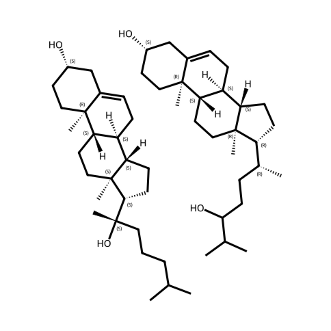 CC(C)C(O)CC[C@@H](C)[C@H]1CC[C@H]2[C@@H]3CC=C4C[C@@H](O)CC[C@]4(C)[C@H]3CC[C@]12C.CC(C)CCC[C@](C)(O)[C@H]1CC[C@H]2[C@@H]3CC=C4C[C@@H](O)CC[C@]4(C)[C@H]3CC[C@@]21C